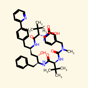 CN(Cc1ccccc1)C(=O)N[C@H](C(=O)N[C@@H](Cc1ccccc1)[C@@H](O)C[C@@H](Cc1ccc(-c2ccccn2)cc1)NC(=O)[C@@H](NC(=O)O)C(C)(C)C)C(C)(C)C